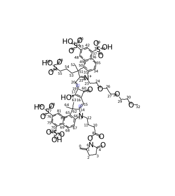 C=C1CCC(=O)N1OC(=O)CCCN1/C(=C/C2=C(O)C(=C/C3=[N+](CCOCCOCCOC)c4ccc5c(S(=O)(=O)O)cc(S(=O)(=O)O)cc5c4C3(C)CCCS(=O)(=O)O)/C2=O)C(C)(C)c2c1ccc1c(S(=O)(=O)O)cc(S(=O)(=O)O)cc21